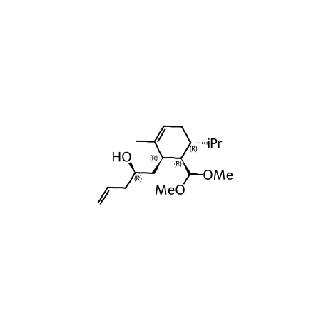 C=CC[C@@H](O)C[C@H]1C(C)=CC[C@H](C(C)C)[C@H]1C(OC)OC